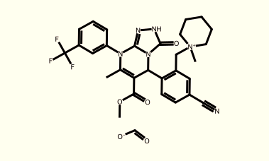 COC(=O)C1=C(C)N(c2cccc(C(F)(F)F)c2)c2n[nH]c(=O)n2C1c1ccc(C#N)cc1C[N+]1(C)CCCCC1.O=C[O-]